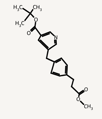 COC(=O)CCc1ccc(Cc2cncc(C(=O)OC(C)(C)C)c2)cc1